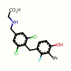 CC(C)c1c(O)ccc(Cc2c(Cl)cc(CNCC(=O)O)cc2Cl)c1F